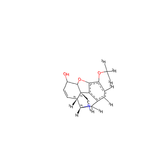 [2H]c1c([2H])c2c3c(c1OC([2H])([2H])[2H])OC1C(O)C=C[C@@]4([2H])[C@H](N(C)CC[C@]314)C2([2H])[2H]